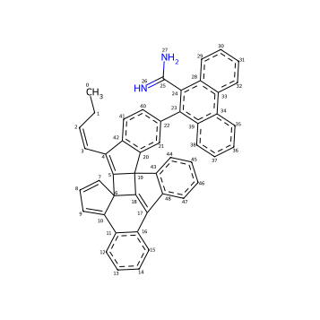 CC/C=C\C1=C2C34C=CC=C3c3ccccc3C3=C4C2(c2cc(-c4c(C(=N)N)c5ccccc5c5ccccc45)ccc21)c1ccccc13